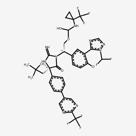 CC(C)(C)C[C@]1(c2ccc(-c3cnc(C(F)(F)F)nc3)cc2)NC(=N)N([C@H](COC(O)NC2(C(F)(F)F)CC2)c2ccc(Cl)c(-c3ncnn3C(F)F)c2)C1=O